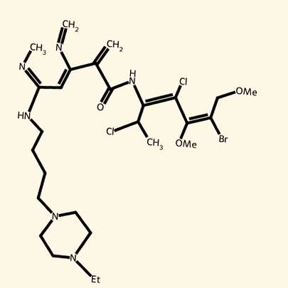 C=N/C(=C\C(=N/C)NCCCCN1CCN(CC)CC1)C(=C)C(=O)N/C(=C(Cl)/C(OC)=C(/Br)COC)C(C)Cl